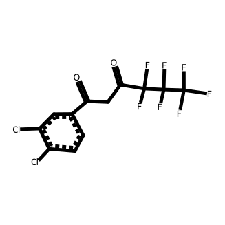 O=C(CC(=O)C(F)(F)C(F)(F)C(F)(F)F)c1ccc(Cl)c(Cl)c1